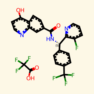 O=C(N[C@@H](c1ccc(C(F)(F)F)cc1)c1ncccc1F)c1ccc2c(O)ccnc2c1.O=C(O)C(F)(F)F